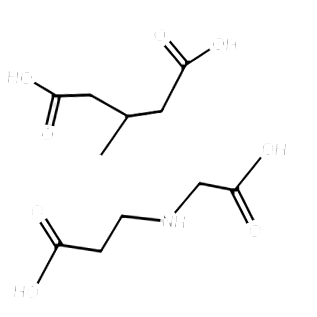 CC(CC(=O)O)CC(=O)O.O=C(O)CCNCC(=O)O